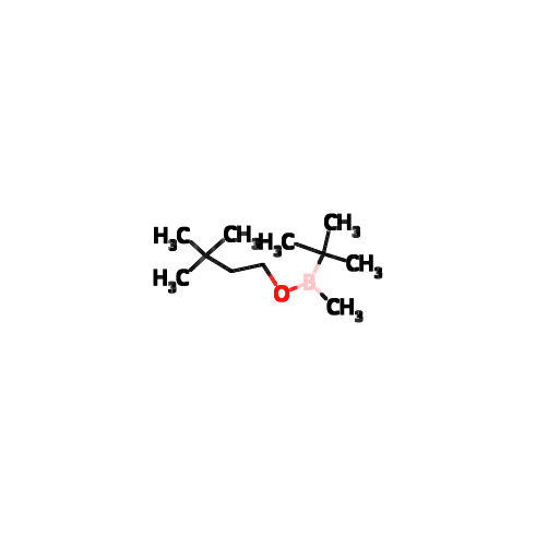 CB(OCCC(C)(C)C)C(C)(C)C